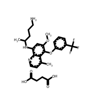 COc1cc(NC(C)CCCN)c2nccc(C)c2c1Oc1cccc(C(F)(F)F)c1.O=C(O)CCC(=O)O